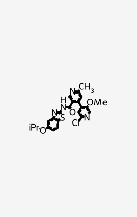 COc1cnc(Cl)cc1-c1cc(C)ncc1C(=O)Nc1nc2cc(OC(C)C)ccc2s1